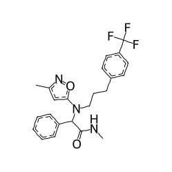 CNC(=O)C(c1ccccc1)N(CCCc1ccc(C(F)(F)F)cc1)c1cc(C)no1